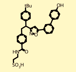 CC(C)(C)c1ccc(C(Cc2ccc(C(=O)NCCS(=O)(=O)O)cc2)c2cc(-c3cccc(-c4ccc(O)cc4)c3)on2)cc1